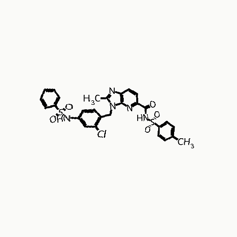 Cc1ccc(S(=O)(=O)NC(=O)c2ccc3nc(C)n(Cc4ccc(NS(=O)(=O)c5ccccc5)cc4Cl)c3n2)cc1